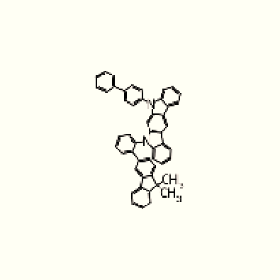 CC1(C)c2ccccc2-c2cc(-c3ccccc3-n3c4ccccc4c4cc5c6ccccc6n(-c6ccc(-c7ccccc7)cc6)c5cc43)ccc21